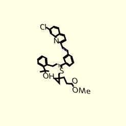 COC(=O)CCC1(CS[C@H](CCc2ccccc2C(C)(C)O)c2cccc(/C=C/c3ccc4ccc(Cl)cc4n3)c2)CC1